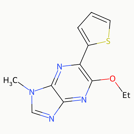 CCOc1nc2ncn(C)c2nc1-c1cccs1